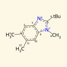 Cc1cc2nc(C(C)(C)C)n(C)c2cc1C